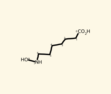 O=C(O)CCCCCCNO